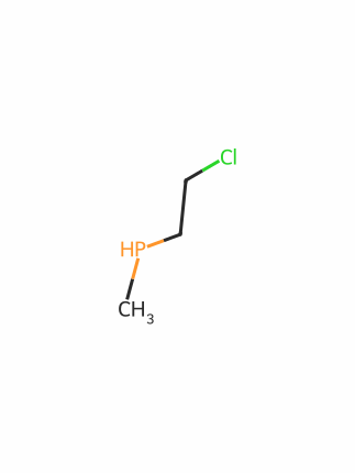 CPCCCl